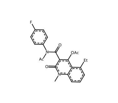 CCc1cccc2c1c(OC(C)=O)c(C(=O)N(C(C)=O)c1ccc(F)cc1)c(=O)n2C